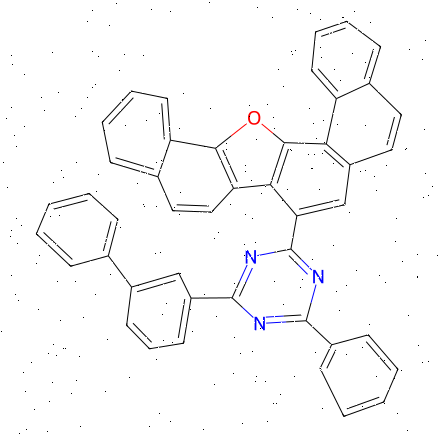 c1ccc(-c2cccc(-c3nc(-c4ccccc4)nc(-c4cc5ccc6ccccc6c5c5oc6c7ccccc7ccc6c45)n3)c2)cc1